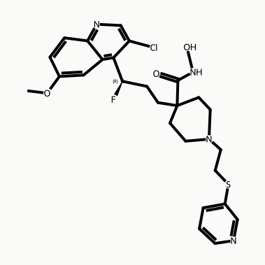 COc1ccc2ncc(Cl)c([C@H](F)CCC3(C(=O)NO)CCN(CCSc4cccnc4)CC3)c2c1